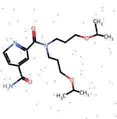 CC(C)OCCCN(CCCOC(C)C)C(=O)c1cc(C(N)=O)ccn1